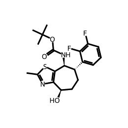 Cc1nc2c(s1)[C@@H](NC(=O)OC(C)(C)C)[C@H](c1cccc(F)c1F)CC[C@H]2O